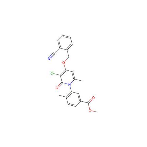 COC(=O)c1ccc(C)c(-n2c(C)cc(OCc3ccccc3C#N)c(Cl)c2=O)c1